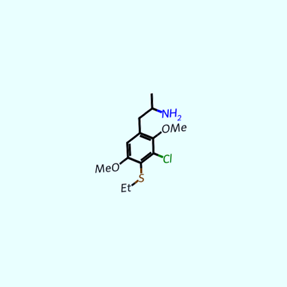 CCSc1c(OC)cc(CC(C)N)c(OC)c1Cl